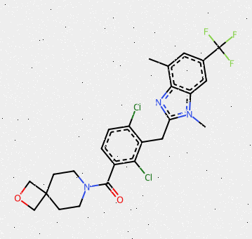 Cc1cc(C(F)(F)F)cc2c1nc(Cc1c(Cl)ccc(C(=O)N3CCC4(CC3)COC4)c1Cl)n2C